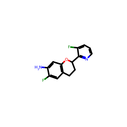 Nc1cc2c(cc1F)CCC(c1ncccc1F)O2